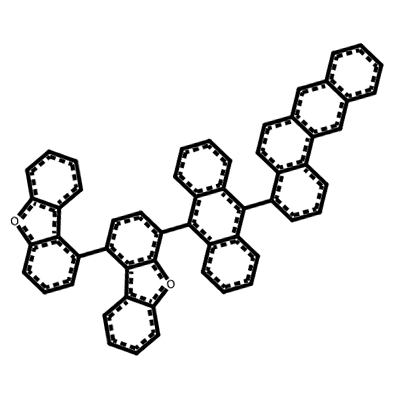 c1ccc2cc3c(ccc4c(-c5c6ccccc6c(-c6ccc(-c7cccc8oc9ccccc9c78)c7c6oc6ccccc67)c6ccccc56)cccc43)cc2c1